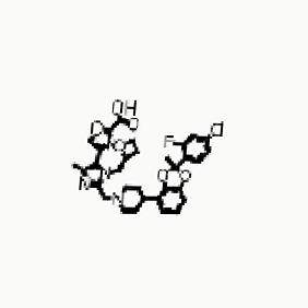 Cc1nc(CN2CCC(c3cccc4c3OC(C)(c3ccc(Cl)cc3F)O4)CC2)n(CC2CCO2)c1-c1coc(C(=O)O)n1